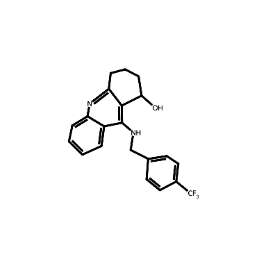 OC1CCCc2nc3ccccc3c(NCc3ccc(C(F)(F)F)cc3)c21